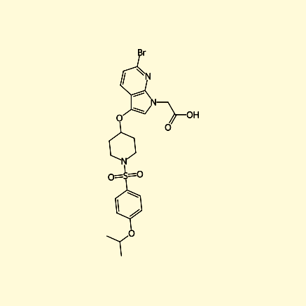 CC(C)Oc1ccc(S(=O)(=O)N2CCC(Oc3cn(CC(=O)O)c4nc(Br)ccc34)CC2)cc1